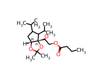 CCCC(=O)OCC(=O)[C@@]12OC(C)(C)O[C@@H]1CC(C(C)C)C2C(C)C